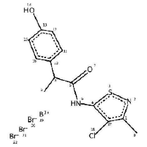 Cc1nsc(NC(=O)C(C)c2ccc(O)cc2)c1Cl.[B+3].[Br-].[Br-].[Br-]